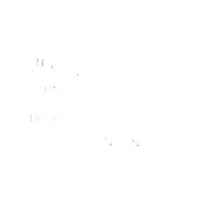 N[C@H](Cc1ccccc1)C(=O)NC(CCCc1cn(C(c2ccccc2)(c2ccccc2)c2ccccc2)cn1)C(=O)O